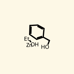 CCO.OCc1ccccc1.[Zn]